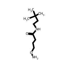 CC(C)(C)CCNC(=O)CCCON